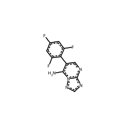 Nc1c(-c2c(F)cc(F)cc2F)cnc2ncnn12